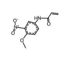 C=CC(=O)Nc1ccc(OC)c([N+](=O)[O-])c1